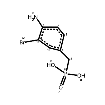 Nc1ccc(CP(=O)(O)O)cc1Br